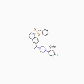 COc1cc(F)ccc1N1CCN(C(C)c2ccc3c(c2)CCCN3S(=O)(=O)Cc2ccccc2)CC1